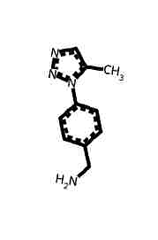 Cc1cnnn1-c1ccc(CN)cc1